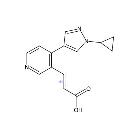 O=C(O)/C=C/c1cnccc1-c1cnn(C2CC2)c1